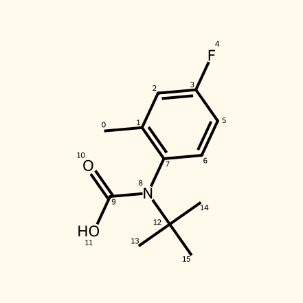 Cc1cc(F)ccc1N(C(=O)O)C(C)(C)C